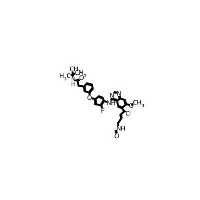 COc1cc2ncnc(Nc3ccc(Oc4cccc(CC(=O)NC(C)(C)C)c4)cc3F)c2cc1C(Cl)/C=C/CNC=O